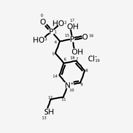 O=P(O)(O)C(Cc1ccc[n+](CCS)c1)P(=O)(O)O.[Cl-]